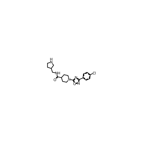 O=C(NCC1CCNC1)C1CCN(c2nc(-c3ccc(Cl)cc3)no2)CC1